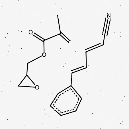 C=C(C)C(=O)OCC1CO1.N#CC=CC=Cc1ccccc1